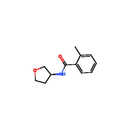 Cc1ccccc1C(=O)N[C@H]1CCOC1